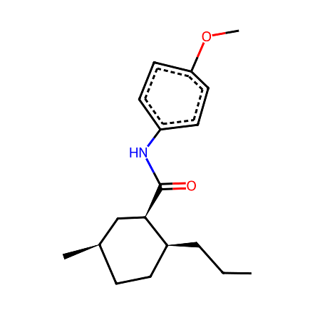 CCC[C@H]1CC[C@@H](C)C[C@H]1C(=O)Nc1ccc(OC)cc1